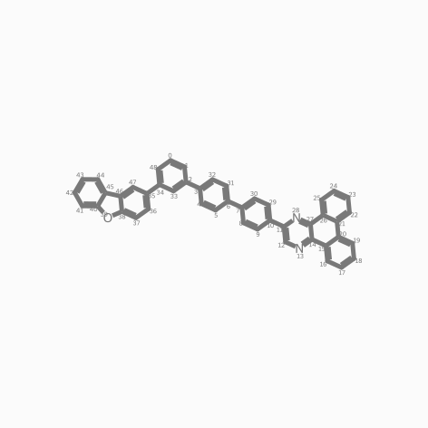 c1cc(-c2ccc(-c3ccc(-c4cnc5c6ccccc6c6ccccc6c5n4)cc3)cc2)cc(-c2ccc3oc4ccccc4c3c2)c1